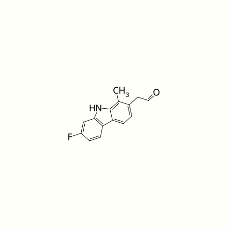 Cc1c(CC=O)ccc2c1[nH]c1cc(F)ccc12